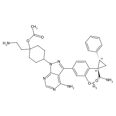 COc1cc(-c2nn(C3CCC(CCN)(OC(C)=O)CC3)c3ncnc(N)c23)ccc1[C@@]1(C(N)=O)C[C@H]1c1ccccc1